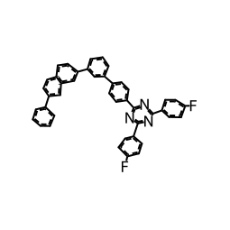 Fc1ccc(-c2nc(-c3ccc(F)cc3)nc(-c3ccc(-c4cccc(-c5ccc6ccc(-c7ccccc7)cc6c5)c4)cc3)n2)cc1